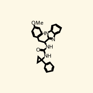 COc1ccc(CC(NC(=O)NC2(c3ccccc3)CC2)c2nc3ccccc3[nH]2)cc1